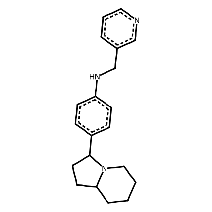 c1cncc(CNc2ccc(C3CCC4CCCCN43)cc2)c1